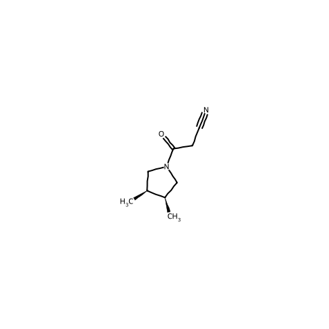 C[C@@H]1CN(C(=O)CC#N)C[C@@H]1C